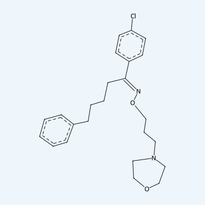 Clc1ccc(C(CCCCc2ccccc2)=NOCCCN2CCOCC2)cc1